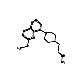 CNCCC1CCN(c2ccnc3ccc(OC)nc23)CC1